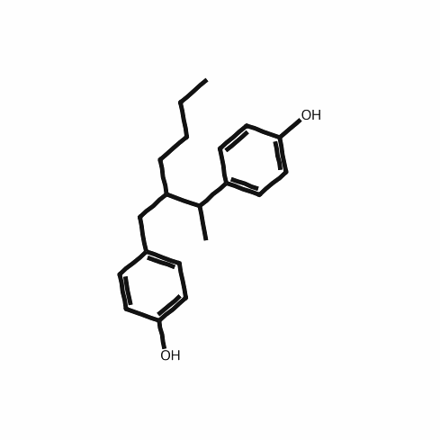 CCCCC(Cc1ccc(O)cc1)C(C)c1ccc(O)cc1